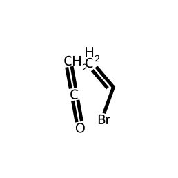 C=C=O.C=CBr